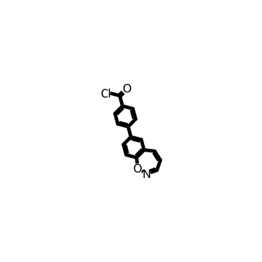 O=C(Cl)c1ccc(-c2ccc3c(c2)C=CC=NO3)cc1